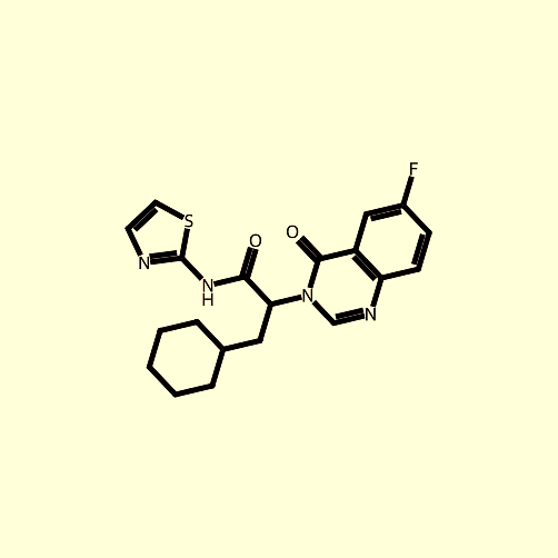 O=C(Nc1nccs1)C(CC1CCCCC1)n1cnc2ccc(F)cc2c1=O